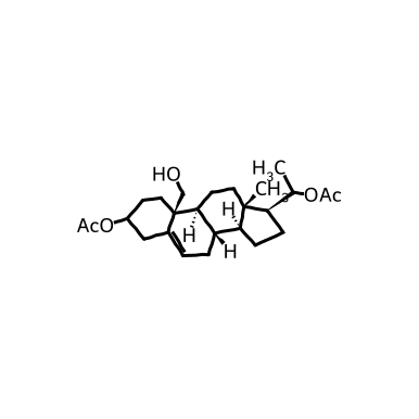 CC(=O)OC1CC[C@@]2(CO)C(=CC[C@@H]3[C@@H]2CC[C@]2(C)[C@@H](C(C)OC(C)=O)CC[C@@H]32)C1